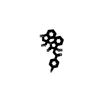 CCCC1(N2C(=O)C(O)(CC(=O)c3ccc(F)cc3)c3ccccc32)CNc2ccccc21